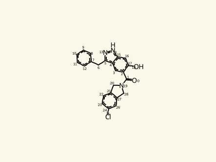 O=C(c1cc2c(Cc3ccccc3)n[nH]c2cc1O)N1Cc2ccc(Cl)cc2C1